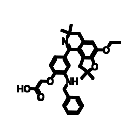 CCOc1cc2c(c3c1OC(C)(C)C3)C(c1ccc(OCC(=O)O)c(NCc3ccccc3)c1)=NC(C)(C)C2